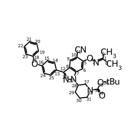 CC(C)=NOc1cc2c(cc1C#N)c(-c1ccc(Oc3ccccc3)cc1)nn2C1CCCN(C(=O)OC(C)(C)C)C1